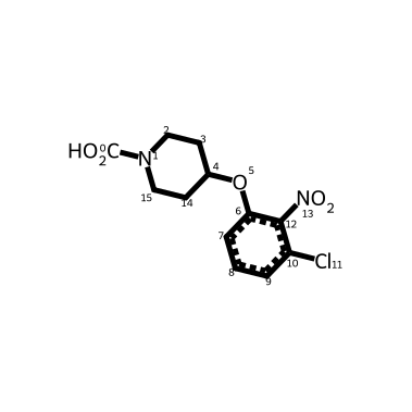 O=C(O)N1CCC(Oc2cccc(Cl)c2[N+](=O)[O-])CC1